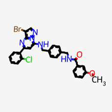 COc1cccc(C(=O)NCc2ccc(CNc3cc(-c4ccccc4Cl)nc4c(Br)cnn34)cc2)c1